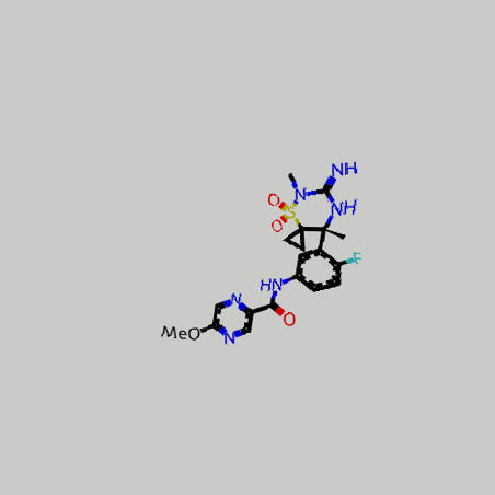 COc1cnc(C(=O)Nc2ccc(F)c([C@@]3(C)NC(=N)N(C)S(=O)(=O)C34CC4)c2)cn1